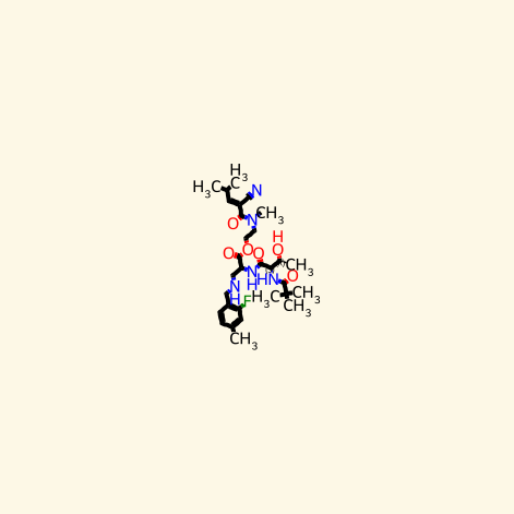 Cc1ccc(CNCC(NC(=O)[C@@H](NC(=O)C(C)(C)C)[C@@H](C)O)C(=O)OCCN(C)C(=O)C(C#N)=CC(C)C)c(F)c1